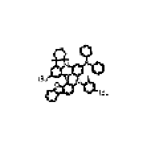 Cc1cc(C(C)(C)C)ccc1N1c2cc(N(c3ccccc3)c3ccccc3)cc3c2B(c2cc(C(C)(C)C)cc4c2N3C2(C)CCCCC42C)c2c1ccc1c2oc2ccccc21